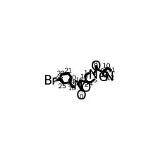 O=C1OC2(CCN(C(=O)c3ccno3)CC2)CN1Cc1cccc(Br)c1